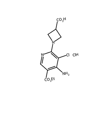 CCOC(=O)c1cnc(N2CC(C(=O)O)C2)c(Cl)c1N.Cl